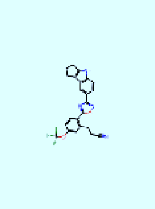 N#CCCc1cc(OC(F)(F)F)ccc1-c1nc(-c2ccc3[nH]c4c(c3c2)CC[CH]4)no1